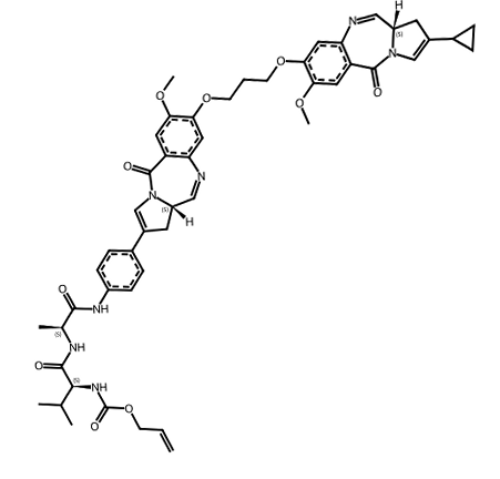 C=CCOC(=O)N[C@H](C(=O)N[C@@H](C)C(=O)Nc1ccc(C2=CN3C(=O)c4cc(OC)c(OCCCOc5cc6c(cc5OC)C(=O)N5C=C(C7CC7)C[C@H]5C=N6)cc4N=C[C@@H]3C2)cc1)C(C)C